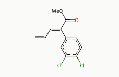 C=C/C=C(/C(=O)OC)c1ccc(Cl)c(Cl)c1